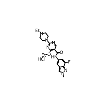 CCOc1nc(N2CCN(CC)CC2)ncc1C(=O)Nc1cc(F)c2nn(C)cc2c1.Cl